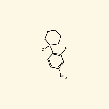 Nc1ccc([N+]2([O-])CCCCC2)c(F)c1